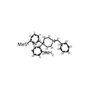 CSc1cccc(C2(c3ccccc3N)CCN(Cc3ccccc3)CC2)n1